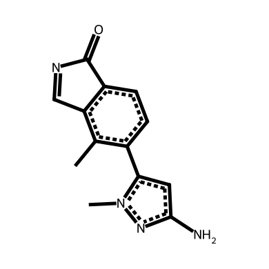 Cc1c(-c2cc(N)nn2C)ccc2c1C=NC2=O